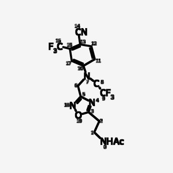 CC(=O)NCCc1nc(CN(CC(F)(F)F)c2ccc(C#N)c(C(F)(F)F)c2)no1